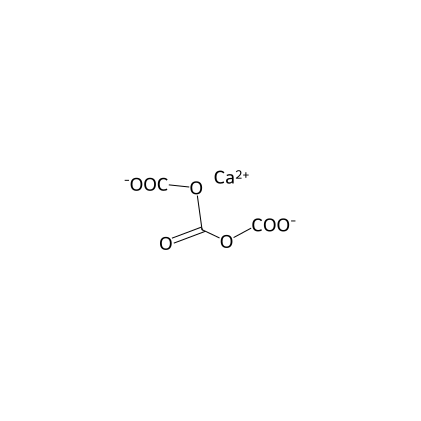 O=C([O-])OC(=O)OC(=O)[O-].[Ca+2]